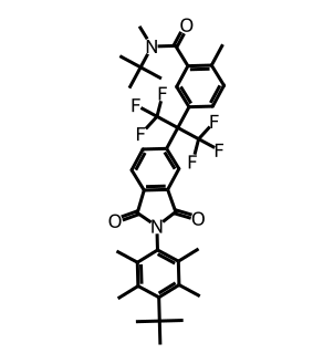 Cc1ccc(C(c2ccc3c(c2)C(=O)N(c2c(C)c(C)c(C(C)(C)C)c(C)c2C)C3=O)(C(F)(F)F)C(F)(F)F)cc1C(=O)N(C)C(C)(C)C